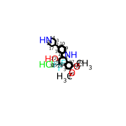 COc1ccc(-c2[nH]c3ccc(C4CCNCC4)cc3c2C(O)C(F)(F)F)cc1OC.Cl